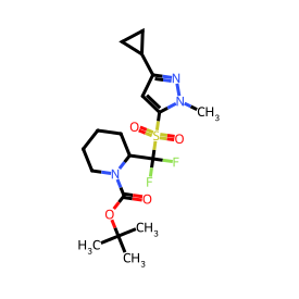 Cn1nc(C2CC2)cc1S(=O)(=O)C(F)(F)C1CCCCN1C(=O)OC(C)(C)C